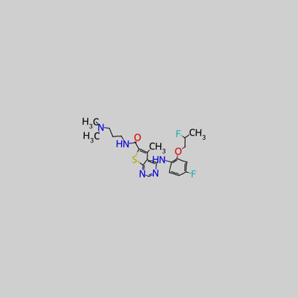 Cc1c(C(=O)NCCCN(C)C)sc2ncnc(Nc3ccc(F)cc3OCC(C)F)c12